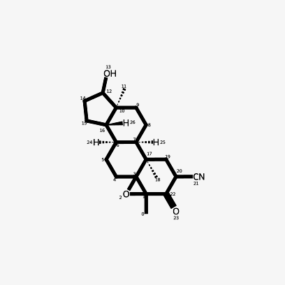 CC12OC13CC[C@@H]1[C@@H](CC[C@]4(C)C(O)CC[C@@H]14)[C@@]3(C)CC(C#N)C2=O